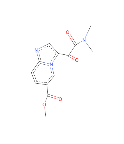 COC(=O)c1ccc2ncc(C(=O)C(=O)N(C)C)n2c1